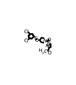 CC(=O)c1ccn(C(=O)N2CCC(OCc3cc(Cl)cc(Cl)c3)CC2)n1